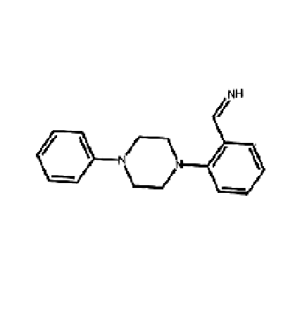 N=Cc1[c]cccc1N1CCN(c2ccccc2)CC1